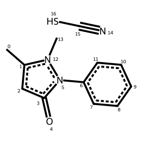 Cc1cc(=O)n(-c2ccccc2)n1C.N#CS